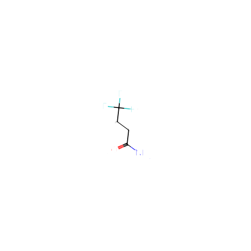 NC(=O)[CH]CC(F)(F)F